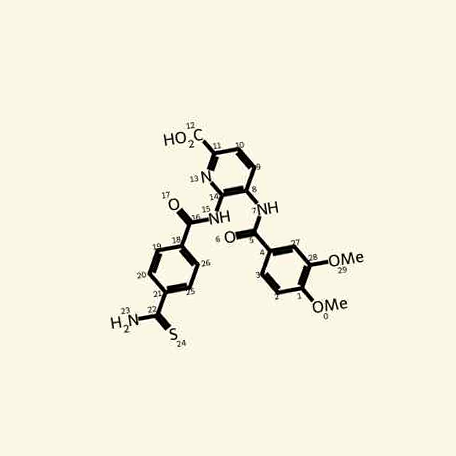 COc1ccc(C(=O)Nc2ccc(C(=O)O)nc2NC(=O)c2ccc(C(N)=S)cc2)cc1OC